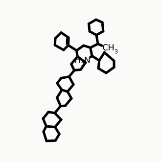 CC(C1CCCCC1)C(CC(C1=CCCCC1)C1CCC(C2CCC3CC(C4CCC5CCCCC5C4)CCC3C2)C1)C(N)C1CCCCC1